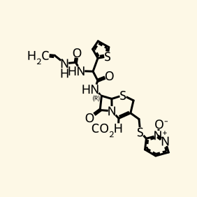 C=CNC(=O)NC(C(=O)N[C@@H]1C(=O)N2C(C(=O)O)=C(CSc3cccn[n+]3[O-])CSC12)c1cccs1